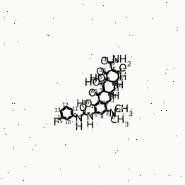 CN(C)c1cc(NC(=O)Nc2cccc(F)c2)c(O)c2c1C[C@H]1C[C@H]3CC(O)=C(C(N)=O)C(=O)[C@@]3(O)C(O)=C1C2=O